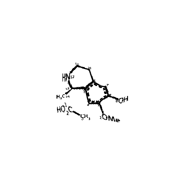 CC(=O)O.COc1cc2c(cc1O)CCN[C@@H]2C